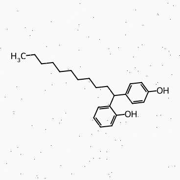 CCCCCCCCCCC(c1ccc(O)cc1)c1ccccc1O